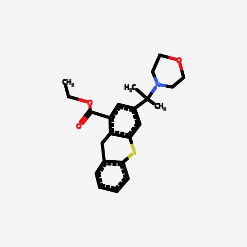 CCOC(=O)c1cc(C(C)(C)N2CCOCC2)cc2c1Cc1ccccc1S2